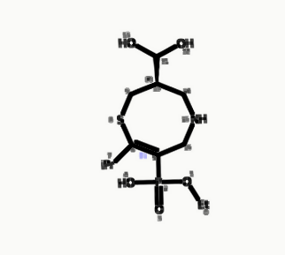 CCOP(=O)(O)/C1=C(\C(C)C)SC[C@@H](C(O)O)CNC1